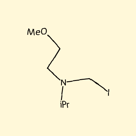 COCCN(CI)C(C)C